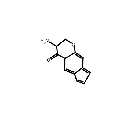 NC1COC2=CC3=CC=CC3=CC2C1=O